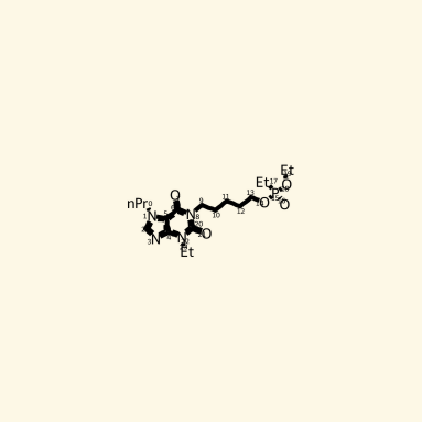 CCCn1cnc2c1c(=O)n(CCCCCOP(=O)(CC)OCC)c(=O)n2CC